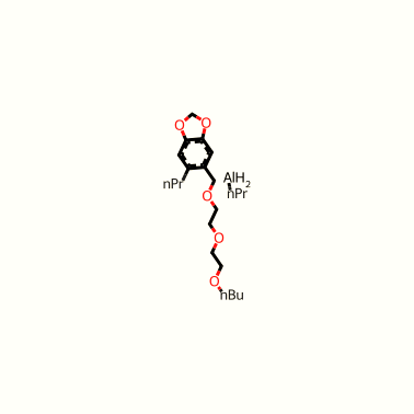 CCCCOCCOCCOCc1cc2c(cc1CCC)OCO2.CC[CH2][AlH2]